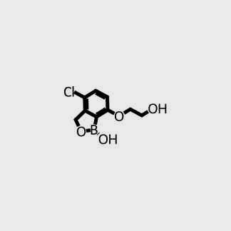 OCCOc1ccc(Cl)c2c1B(O)OC2